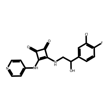 O=c1c(NCC(O)c2ccc(F)c(Cl)c2)c(Nc2ccncc2)c1=O